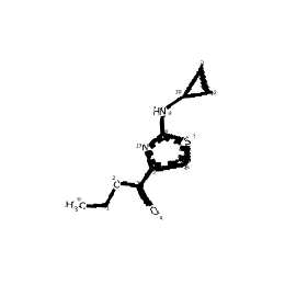 CCOC(=O)c1csc(NC2CC2)n1